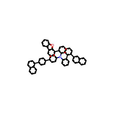 c1ccc(-c2ccccc2N(c2ccc(-c3ccc(-c4cccc5ccccc45)cc3)cc2)c2ccccc2-c2cccc3c2oc2ccccc23)c(-c2ccc3ccccc3c2)c1